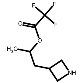 CC(CC1CNC1)OC(=O)C(F)(F)F